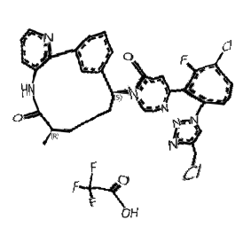 C[C@@H]1CCC[C@H](n2cnc(-c3c(-n4cc(Cl)nn4)ccc(Cl)c3F)cc2=O)c2cccc(c2)-c2ncccc2NC1=O.O=C(O)C(F)(F)F